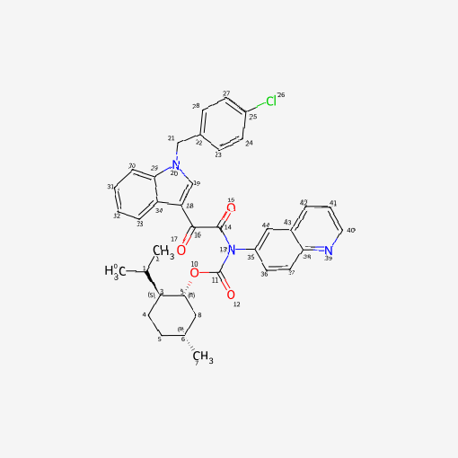 CC(C)[C@@H]1CC[C@@H](C)C[C@H]1OC(=O)N(C(=O)C(=O)c1cn(Cc2ccc(Cl)cc2)c2ccccc12)c1ccc2ncccc2c1